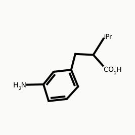 CC(C)C(Cc1cccc(N)c1)C(=O)O